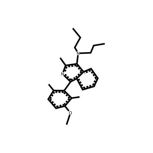 CCCN(CCC)c1c(C)nc(-c2c(C)ccc(OC)c2C)c2ccccc12